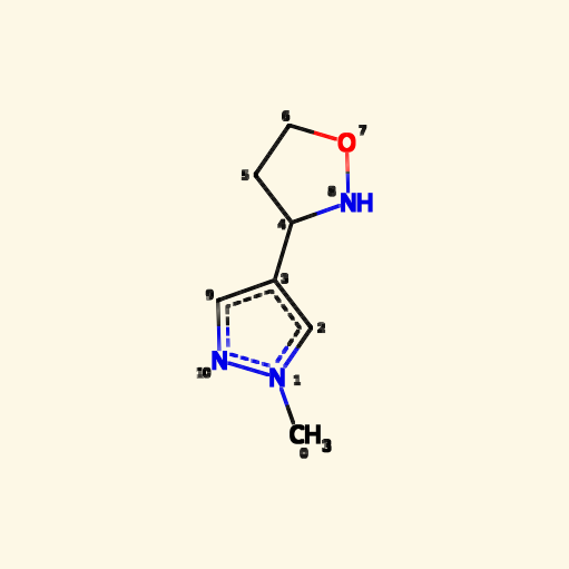 Cn1cc(C2CCON2)cn1